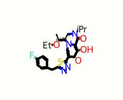 CCO[C@@H](C)[C@H]1CN(C(C)C)C(=O)c2c(O)c(=O)c(-c3nnc(Cc4ccc(F)cc4)s3)cn21